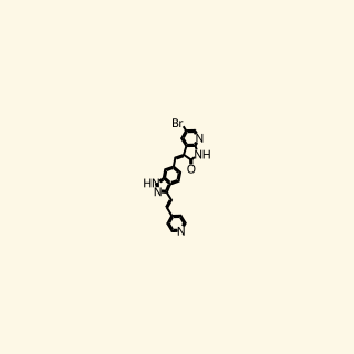 O=C1Nc2ncc(Br)cc2C1=Cc1ccc2c(/C=C/c3ccncc3)n[nH]c2c1